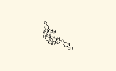 C[C@]12C=CC(=O)C=C1CC[C@H]1[C@@H]3CC[C@@](OC(=O)c4ccc(Oc5ccc(O)nc5)nc4)(C(=O)O)[C@@]3(C)C[C@H](O)C12F